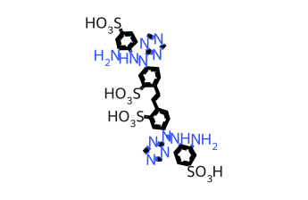 Nc1cc(S(=O)(=O)O)ccc1NN(c1ccc(C=Cc2ccc(N(Nc3ccc(S(=O)(=O)O)cc3N)c3ncncn3)cc2S(=O)(=O)O)c(S(=O)(=O)O)c1)c1ncncn1